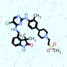 Cc1cc(C2CCN(CCS(C)(=O)=O)CC2)ccc1Nc1ncc(Cl)c(NCc2cccc3c2C(C)(C)C(=O)N3)n1